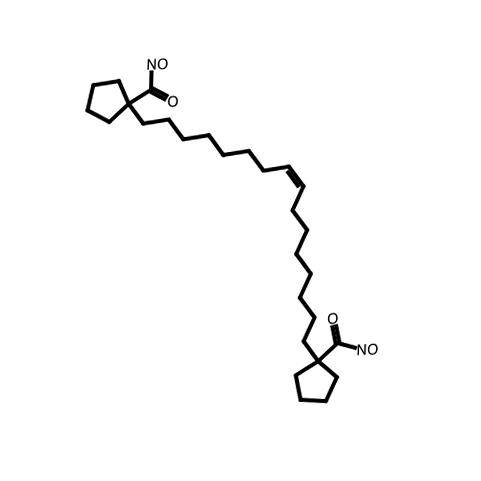 O=NC(=O)C1(CCCCCCC/C=C\CCCCCCCC2(C(=O)N=O)CCCC2)CCCC1